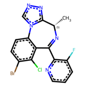 C[C@@H]1N=C(c2ncccc2F)c2c(ccc(Br)c2Cl)-n2cnnc21